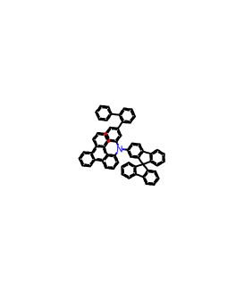 c1ccc(-c2ccccc2-c2cccc(N(c3ccc4c(c3)C3(c5ccccc5-c5ccccc53)c3ccccc3-4)c3cccc4c5ccccc5c5ccccc5c34)c2)cc1